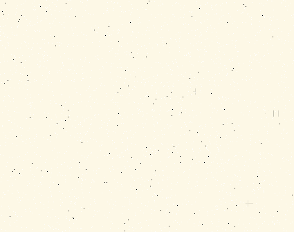 CCCCC(CC)COCC(O)CN(CCO)CCO